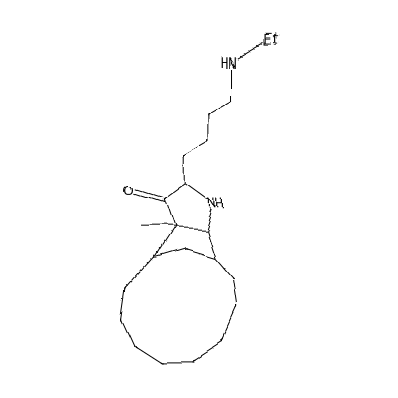 CCNCCCCC1NC2C3CCCCCCCCC(C3)C2(C)C1=O